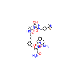 Cc1ncsc1-c1ccc(CNC(=O)[C@@H]2C[C@@H](O)CN2C(=O)[C@@H](NC(=O)CCCCc2cccc(CO[C@H](C)[C@H](CCC(N)=O)NC(=O)[C@@H]3Cc4cccc5c4N3C(=O)[C@@H](N)CC5)c2)C(C)(C)C)cc1